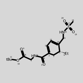 CC[C@@H]1CC(C(=O)NCC(=O)OC(C)(C)C)=CC=C1CNS(C)(=O)=O